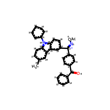 CC(=O)O/N=C(/c1ccc(C(=O)c2ccccc2)cc1)c1ccc2c(c1)c1cc(C)ccc1n2-c1ccccc1